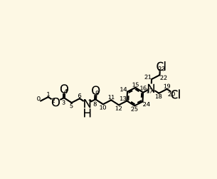 CCOC(=O)CCNC(=O)CCCc1ccc(N(CCCl)CCCl)cc1